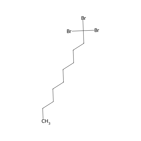 CCCCCCCCCC(Br)(Br)Br